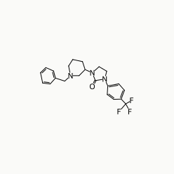 O=C1N(c2ccc(C(F)(F)F)cc2)CCN1C1CCCN(Cc2ccccc2)C1